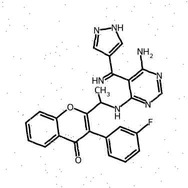 CC(Nc1ncnc(N)c1C(=N)c1cn[nH]c1)c1oc2ccccc2c(=O)c1-c1cccc(F)c1